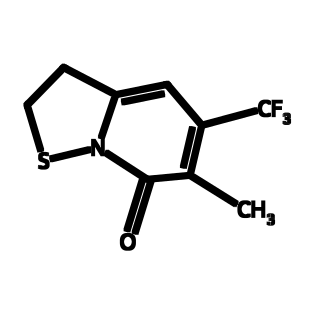 Cc1c(C(F)(F)F)cc2n(c1=O)SCC2